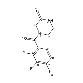 Cc1c(C(=O)N2CCNC(=O)C2)ccc(F)c1F